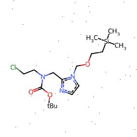 CC(C)(C)OC(=O)N(CCCl)Cc1nccn1COCC[Si](C)(C)C